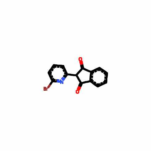 O=C1c2ccccc2C(=O)C1c1cccc(Br)n1